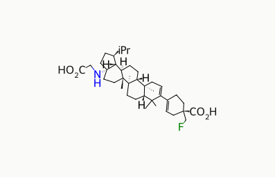 CC(C)[C@@H]1CC[C@]2(NCC(=O)O)CC[C@]3(C)[C@H](CC[C@@H]4[C@@]5(C)CC=C(C6=CC[C@](CF)(C(=O)O)CC6)C(C)(C)[C@@H]5CC[C@]43C)[C@@H]12